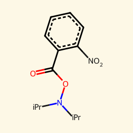 CC(C)N(OC(=O)c1ccccc1[N+](=O)[O-])C(C)C